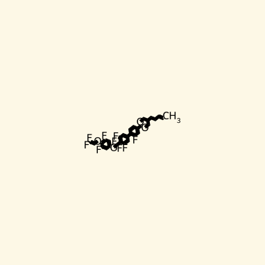 C/C=C/CCC1COC(c2ccc(-c3cc(F)c(C(F)(F)Oc4cc(F)c(OC=C(F)F)c(F)c4)c(F)c3)c(F)c2)OC1